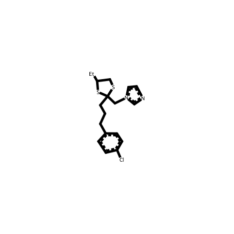 CCC1CSC(CCCc2ccc(Cl)cc2)(Cn2ccnc2)S1